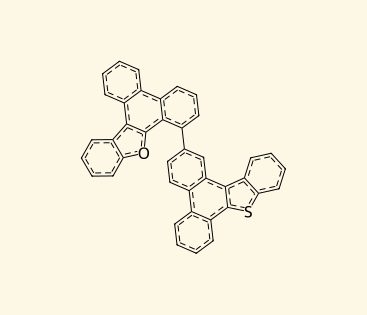 c1ccc2c(c1)oc1c3c(-c4ccc5c6ccccc6c6sc7ccccc7c6c5c4)cccc3c3ccccc3c21